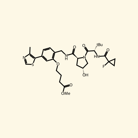 COC(=O)CCCOc1cc(-c2scnc2C)ccc1CNC(=O)[C@@H]1C[C@@H](O)CN1C(=O)[C@@H](NC(=O)C1(F)CC1)C(C)(C)C